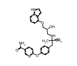 CC(C)(Cc1ccc(Oc2ccc(C(N)=O)cn2)cc1)NC[C@H](O)COc1cccc2[nH]ccc12.Cl